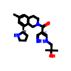 Cc1cc2c(c([C@@H]3CCCN3)c1)CN(C(=O)/C(C=N)=C/NCC(C)(C)O)CC2